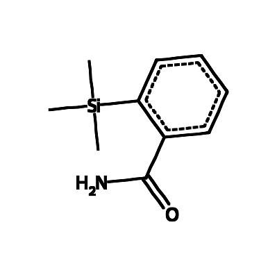 C[Si](C)(C)c1ccccc1C(N)=O